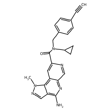 C#Cc1ccc(CN(C(=O)c2cc3c(cn2)nc(N)c2cnn(C)c23)C2CC2)cc1